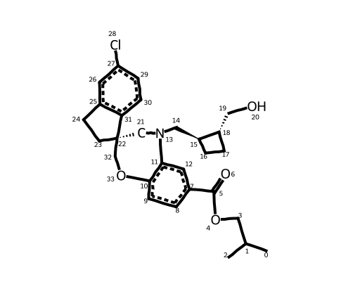 CC(C)COC(=O)c1ccc2c(c1)N(C[C@@H]1CC[C@H]1CO)C[C@@]1(CCc3cc(Cl)ccc31)CO2